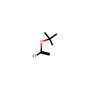 [CH]=C(CC)OC(C)(C)C